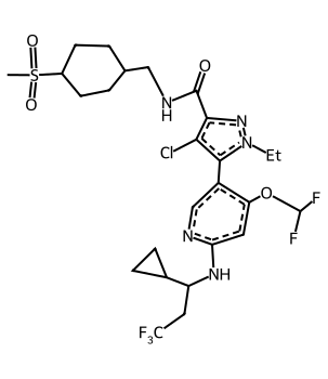 CCn1nc(C(=O)NCC2CCC(S(C)(=O)=O)CC2)c(Cl)c1-c1cnc(NC(CC(F)(F)F)C2CC2)cc1OC(F)F